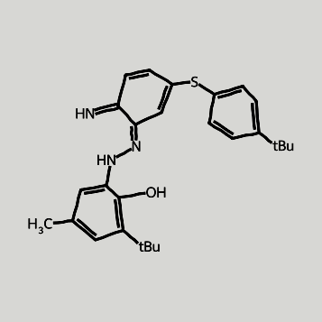 Cc1cc(N/N=C2/C=C(Sc3ccc(C(C)(C)C)cc3)C=CC2=N)c(O)c(C(C)(C)C)c1